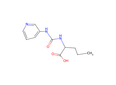 CCCC(NC(=O)Nc1cccnc1)C(=O)O